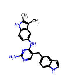 Cc1[nH]c2ccc(Nc3nc(N)ncc3Cc3ccc4[nH]ccc4c3)cc2c1C